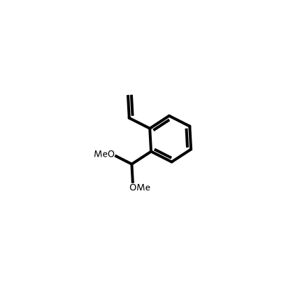 C=Cc1ccccc1C(OC)OC